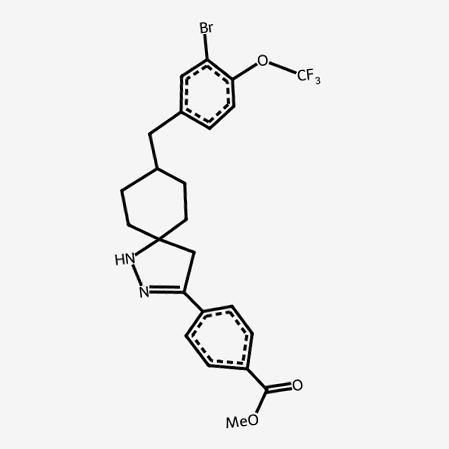 COC(=O)c1ccc(C2=NNC3(CCC(Cc4ccc(OC(F)(F)F)c(Br)c4)CC3)C2)cc1